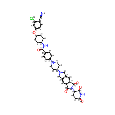 N#Cc1ccc(O[C@H]2CC[C@H](NC(=O)c3ccc(N4CCC(N5Cc6cc7c(cc6C5)C(=O)N(C5CCC(=O)NC5=O)C7=O)CC4)cc3)CC2)cc1Cl